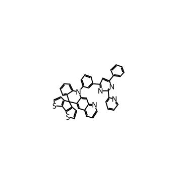 c1ccc(-c2cc(-c3cccc(N4c5ccccc5C5(c6cc7cccnc7cc64)c4ccsc4-c4sccc45)c3)nc(-c3ccccn3)n2)cc1